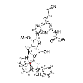 CO[C@H]1C(O[P@@]2O[C@H](C[Si](C)(c3ccccc3)c3ccccc3)[C@@H]3CCCN32)[C@@H](CO)O[C@H]1n1cnc2c(OCCC#N)nc(NC(=O)C(C)C)nc21